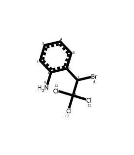 Nc1ccccc1C(Br)C(Cl)(Cl)Cl